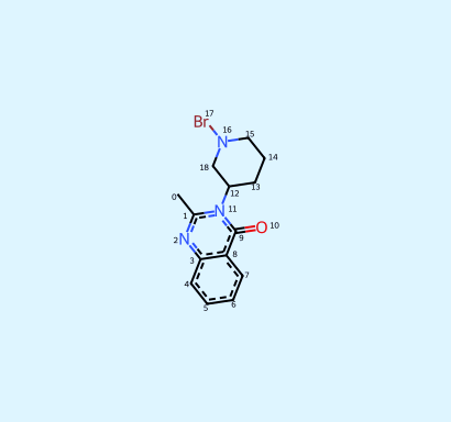 Cc1nc2ccccc2c(=O)n1C1CCCN(Br)C1